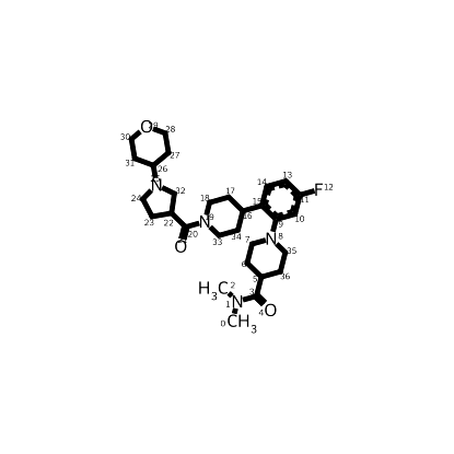 CN(C)C(=O)C1CCN(c2cc(F)ccc2C2CCN(C(=O)C3CCN(C4CCOCC4)C3)CC2)CC1